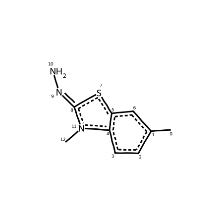 Cc1ccc2c(c1)s/c(=N\N)n2C